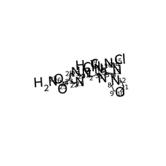 CN(Cc1nc2c(N3CCOCC3)nc(Cl)nc2n1C)c1ncc(C(=O)ON)cn1